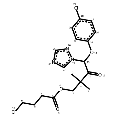 CC(C)(COC(=O)CCCCl)C(=O)C(Oc1ccc(Cl)cc1)n1cncn1